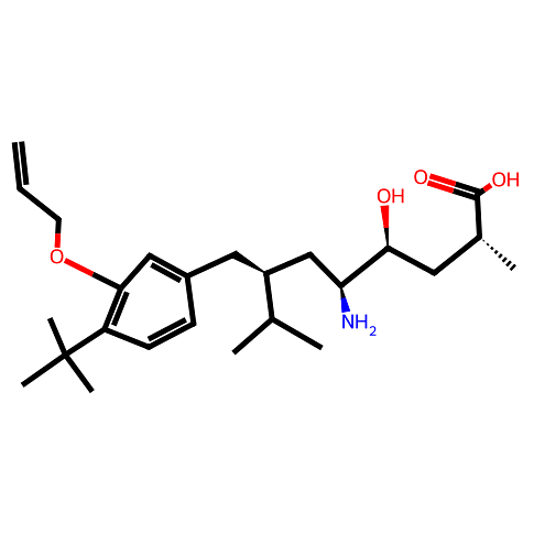 C=CCOc1cc(C[C@@H](C[C@H](N)[C@@H](O)C[C@@H](C)C(=O)O)C(C)C)ccc1C(C)(C)C